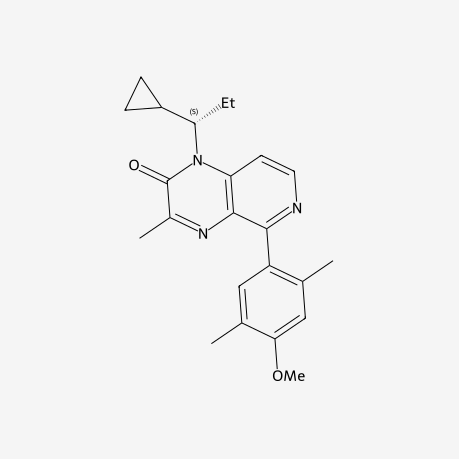 CC[C@@H](C1CC1)n1c(=O)c(C)nc2c(-c3cc(C)c(OC)cc3C)nccc21